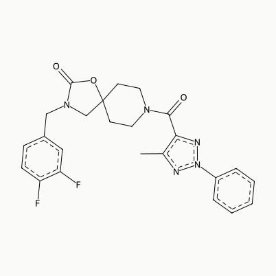 Cc1nn(-c2ccccc2)nc1C(=O)N1CCC2(CC1)CN(Cc1ccc(F)c(F)c1)C(=O)O2